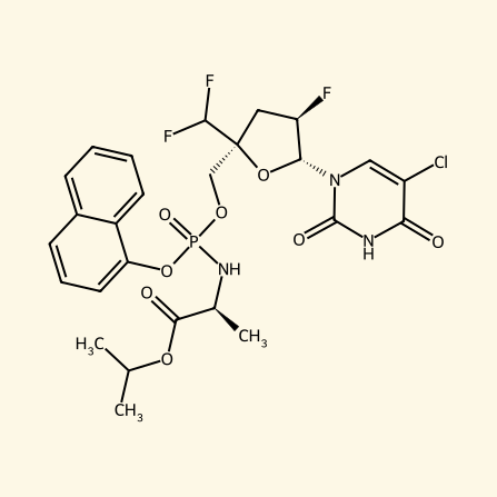 CC(C)OC(=O)[C@H](C)NP(=O)(OC[C@]1(C(F)F)C[C@@H](F)[C@H](n2cc(Cl)c(=O)[nH]c2=O)O1)Oc1cccc2ccccc12